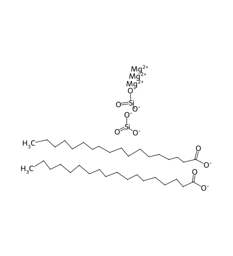 CCCCCCCCCCCCCCCCCC(=O)[O-].CCCCCCCCCCCCCCCCCC(=O)[O-].O=[Si]([O-])[O-].O=[Si]([O-])[O-].[Mg+2].[Mg+2].[Mg+2]